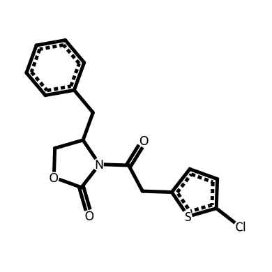 O=C(Cc1ccc(Cl)s1)N1C(=O)OCC1Cc1ccccc1